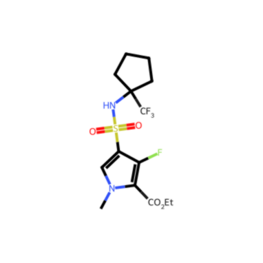 CCOC(=O)c1c(F)c(S(=O)(=O)NC2(C(F)(F)F)CCCC2)cn1C